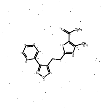 COC(=O)c1sc(CCc2conc2-c2ccccn2)nc1C